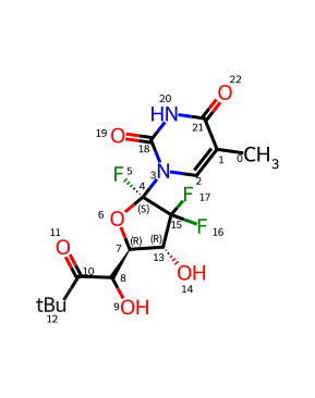 Cc1cn([C@]2(F)O[C@H](C(O)C(=O)C(C)(C)C)[C@@H](O)C2(F)F)c(=O)[nH]c1=O